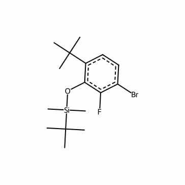 CC(C)(C)c1ccc(Br)c(F)c1O[Si](C)(C)C(C)(C)C